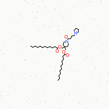 CCCCCCCCCCCC(=O)OCC1(COC(=O)CCCCCCCCCCC)CCN(C(=O)CCCN2CCCC2)CC1